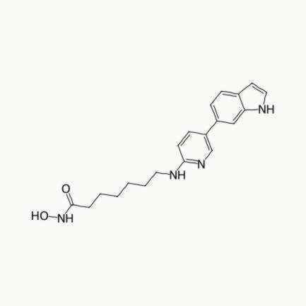 O=C(CCCCCCNc1ccc(-c2ccc3cc[nH]c3c2)cn1)NO